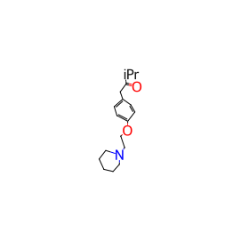 CC(C)C(=O)Cc1ccc(OCCN2CCCCC2)cc1